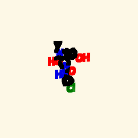 Cc1ccc(O)cc1C12CCN(C(=O)Nc3ccc(Cl)cc3)CCC1(O)C(C)N(CC1CC1)CC2